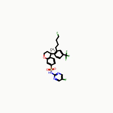 C[C@@]1(c2ccc(C(F)(F)F)cc2CCCCF)CCOc2cc(S(=O)(=O)Nc3ncc(F)cn3)ccc21